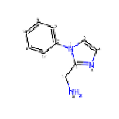 NCc1nccn1-c1ccccc1